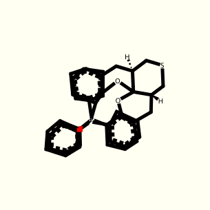 c1ccc(P(c2ccccc2)c2cccc3c2OC24Oc5c(cccc5P(c5ccccc5)c5ccccc5)C[C@H]2CSC[C@@H]4C3)cc1